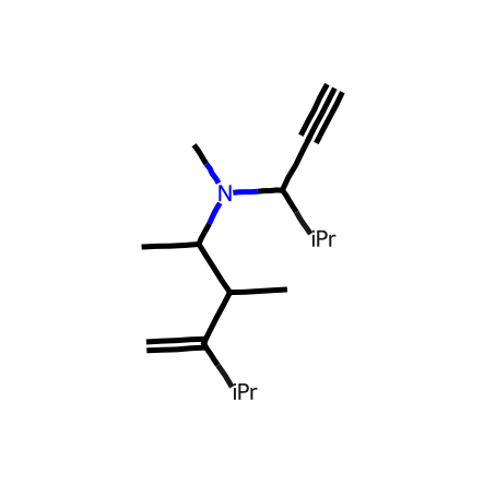 C#CC(C(C)C)N(C)C(C)C(C)C(=C)C(C)C